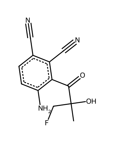 CC(O)(CF)C(=O)c1c(N)ccc(C#N)c1C#N